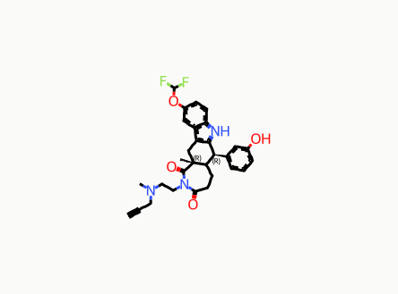 C#CCN(C)CCN1C(=O)CCC2[C@H](c3cccc(O)c3)c3[nH]c4ccc(OC(F)F)cc4c3C[C@@]2(C)C1=O